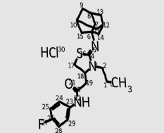 CCCN1C(=NC23CC4CC(CC(C4)C2)C3)SCC1CC(=O)Nc1ccc(F)cc1.Cl